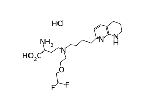 Cl.N[C@@H](CCN(CCCCc1ccc2c(n1)NCCC2)CCOCC(F)F)C(=O)O